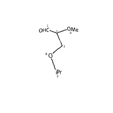 COC(C=O)COC(C)C